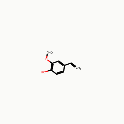 C=Cc1ccc(O)c(OC=O)c1